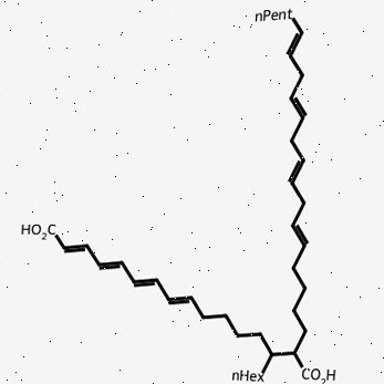 CCCCCC=CCC=CCC=CCC=CCCCCC(C(=O)O)C(CCCCC=CC=CC=CC=CC(=O)O)CCCCCC